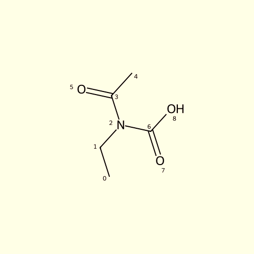 CCN(C(C)=O)C(=O)O